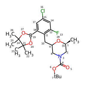 C[C@H]1CN(C(=O)OC(C)(C)C)CC(Cc2c(F)cc(Cl)cc2B2OC(C)(C)C(C)(C)O2)O1